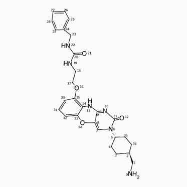 NC[C@H]1CC[C@H](n2cc3c(nc2=O)Nc2c(OCCNC(=O)NCc4ccccc4)cccc2O3)CC1